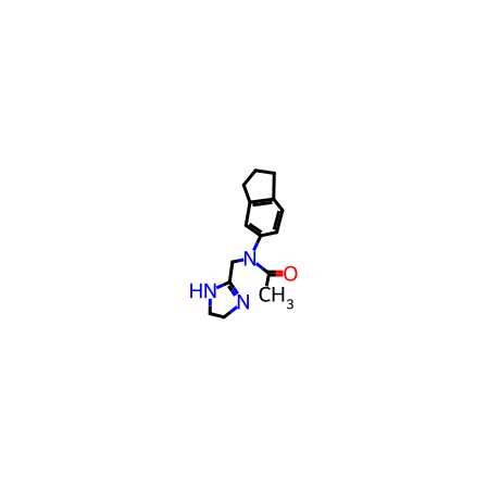 CC(=O)N(CC1=NCCN1)c1ccc2c(c1)CCC2